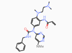 C=CC(=O)Nc1cc(N(C(=O)NCc2ccccc2)c2cc(NC)ncn2)ccc1N(C)CCN(C)C